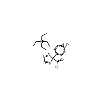 CC[N+](CC)(CC)CC.O.O=C([O-])C1(c2ccccc2)N=NN=N1